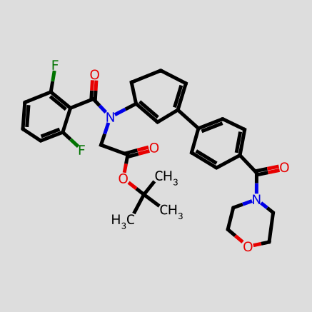 CC(C)(C)OC(=O)CN(C(=O)c1c(F)cccc1F)C1=CC(c2ccc(C(=O)N3CCOCC3)cc2)=CCC1